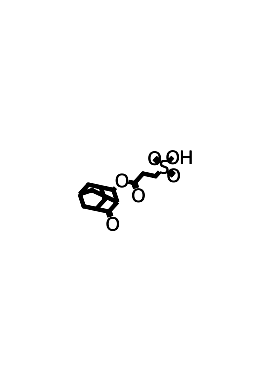 O=C(CCS(=O)(=O)O)OC1C2CC3CC(C2)C(=O)C1C3